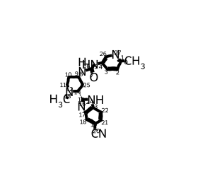 Cc1ccc(NC(=O)N[C@@H]2CCN(C)[C@@H](c3nc4cc(C#N)ccc4[nH]3)C2)cn1